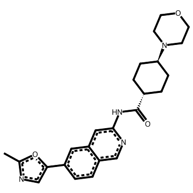 Cc1ncc(-c2ccc3cnc(NC(=O)[C@H]4CC[C@H](N5CCOCC5)CC4)cc3c2)o1